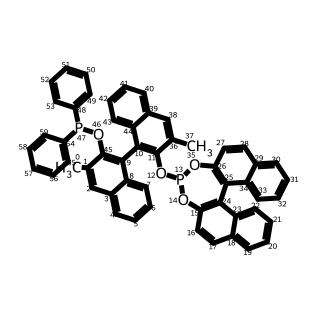 Cc1cc2ccccc2c(-c2c(Op3oc4ccc5ccccc5c4c4c(ccc5ccccc54)o3)c(C)cc3ccccc23)c1OP(c1ccccc1)c1ccccc1